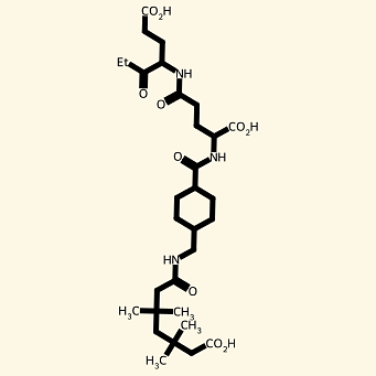 CCC(=O)C(CCC(=O)O)NC(=O)CCC(NC(=O)C1CCC(CNC(=O)CC(C)(C)CC(C)(C)CC(=O)O)CC1)C(=O)O